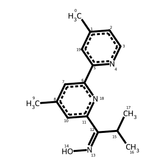 Cc1ccnc(-c2cc(C)cc(/C(=N\O)C(C)C)n2)c1